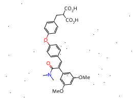 COc1cc(OC)cc(C(=Cc2ccc(Oc3ccc(CC(C(=O)O)C(=O)O)cc3)cc2)C(=O)N(C)C)c1